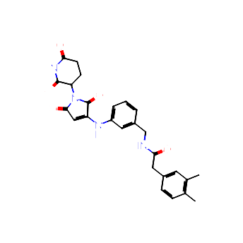 Cc1ccc(CC(=O)NCc2cccc(NC3=CC(=O)N(C4CCC(=O)NC4=O)C3=O)c2)cc1C